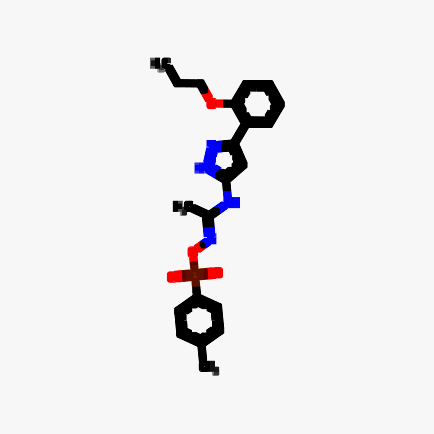 CCCOc1ccccc1-c1cc(N/C(C)=N/OS(=O)(=O)c2ccc(C)cc2)[nH]n1